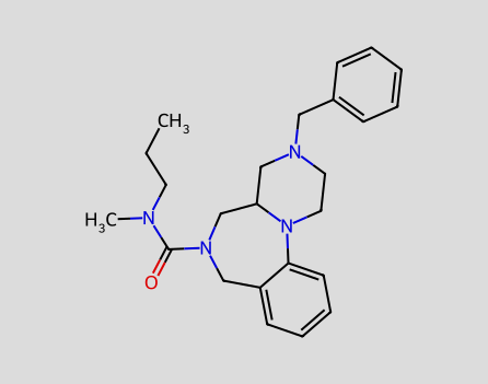 CCCN(C)C(=O)N1Cc2ccccc2N2CCN(Cc3ccccc3)CC2C1